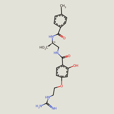 Cc1ccc(C(=O)N[C@@H](CNC(=O)c2ccc(OCCNC(=N)N)cc2O)C(=O)O)cc1